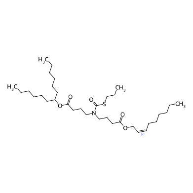 CCCCCC/C=C\COC(=O)CCCN(CCCC(=O)OC(CCCCCC)CCCCCC)C(=O)SCCC